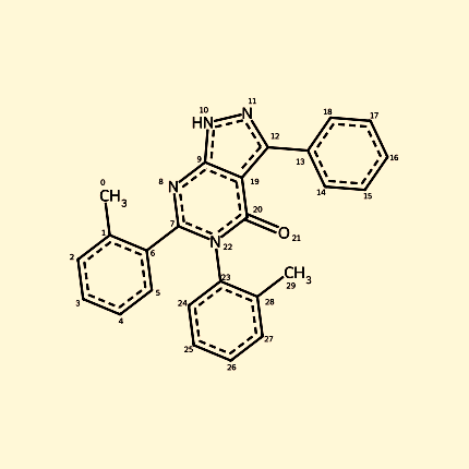 Cc1ccccc1-c1nc2[nH]nc(-c3ccccc3)c2c(=O)n1-c1ccccc1C